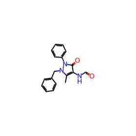 Cc1c(NC=O)c(=O)n(-c2ccccc2)n1Cc1ccccc1